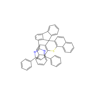 c1ccc(-c2cc(-c3ccccc3)nc(-c3cccc4c3C3(c5ccccc5-4)c4ccc5ccccc5c4Sc4c3ccc3ccccc43)n2)cc1